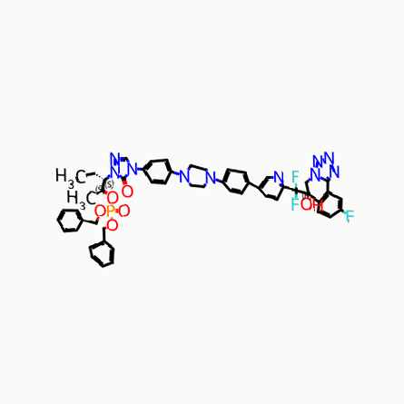 CC[C@@H]([C@H](C)OP(=O)(OCc1ccccc1)OCc1ccccc1)n1ncn(-c2ccc(N3CCN(c4ccc(-c5ccc(C(F)(F)[C@]6(O)Cn7nnnc7-c7cc(F)ccc76)nc5)cc4)CC3)cc2)c1=O